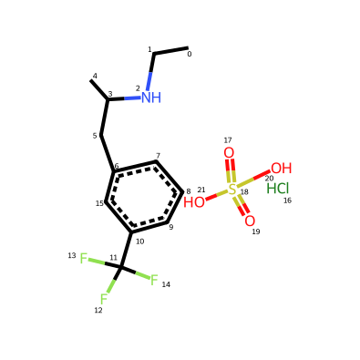 CCNC(C)Cc1cccc(C(F)(F)F)c1.Cl.O=S(=O)(O)O